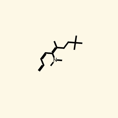 C=C/C=C\C(=C(/C)CCC(C)(C)C)N(C)C